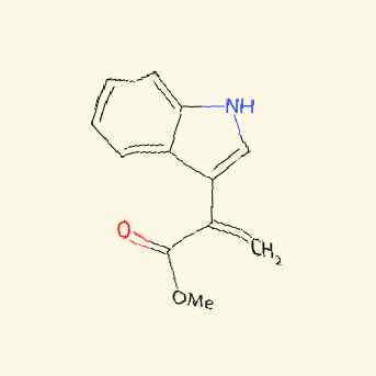 C=C(C(=O)OC)c1c[nH]c2ccccc12